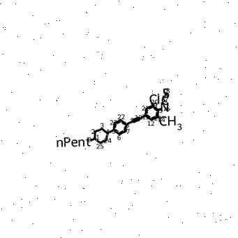 CCCCCC1CCC(c2ccc(C#Cc3cc(C)c(N=C=S)c(Cl)c3)cc2)CC1